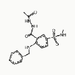 CNS(=O)(=O)c1ccc(NCc2ccccc2)c(C(=O)NNC(C)=O)c1